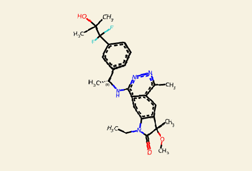 CCN1C(=O)C(C)(OC)c2cc3c(C)nnc(N[C@H](C)c4cccc(C(F)(F)C(C)(C)O)c4)c3cc21